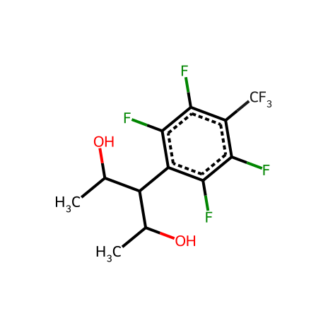 CC(O)C(c1c(F)c(F)c(C(F)(F)F)c(F)c1F)C(C)O